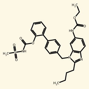 CCCCc1nc2ccc(NC(=O)OCC)cc2n1Cc1ccc(-c2ccccc2OC(=O)NS(C)(=O)=O)cc1